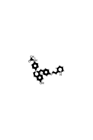 CC(=O)Nc1ccc(N2CCc3cc(O)ccc3C2Cc2ccc(OCCC3CCCCN3)cc2)cc1